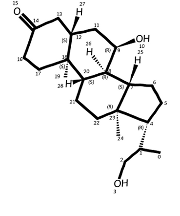 CC(CO)[C@H]1CC[C@H]2[C@@H]3[C@H](O)C[C@H]4CC(=O)CC[C@]4(C)[C@H]3CC[C@]12C